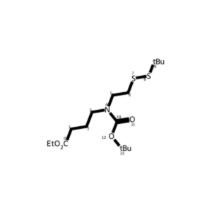 CCOC(=O)CCCN(CCSSC(C)(C)C)C(=O)OC(C)(C)C